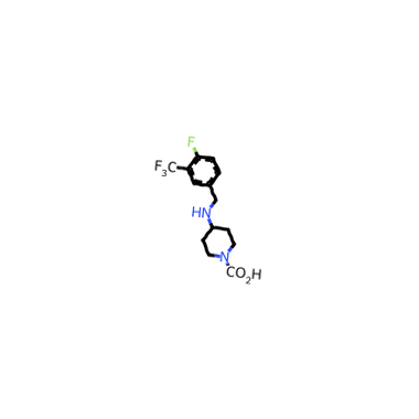 O=C(O)N1CCC(NCc2ccc(F)c(C(F)(F)F)c2)CC1